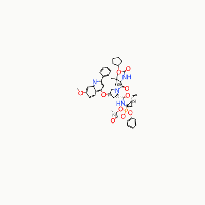 C=C[C@@H]1C[C@]1(NC(=O)[C@@H]1C[C@@H](Oc2cc(-c3ccccc3)nc3cc(OC)ccc23)CN1C(=O)[C@@H](NC(=O)OC1CCCC1)C(C)(C)C)P(=O)(Oc1ccccc1)O[C@@H](C)C=O